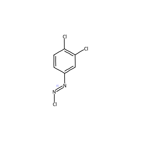 Cl/N=N/c1ccc(Cl)c(Cl)c1